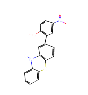 CN1c2ccccc2Sc2ccc(-c3cc([N+](=O)[O-])ccc3O)cc21